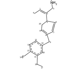 C/C=C(/CN)C1C=CC(Cc2ccc(F)c(CC)c2)=CC1